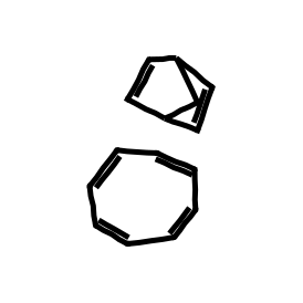 C1=CC2C=CC1C2.C1=CC=CC=CC=C1